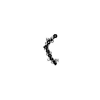 Cc1cc(C(F)(F)C2CCC(NC(=O)OCc3ccccc3)CC2)nc(N2CCN(S(=O)(=O)c3ccc(N4C[C@H](NC(=O)OC(C)(C)C)CC4=O)cc3)CC2)n1